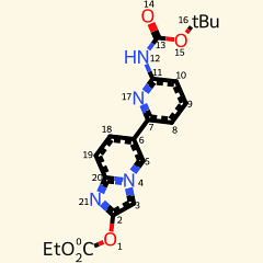 CCOC(=O)Oc1cn2cc(-c3cccc(NC(=O)OC(C)(C)C)n3)ccc2n1